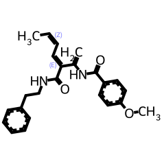 C=C(NC(=O)c1ccc(OC)cc1)/C(=C\C=C/C)C(=O)NCCc1ccccc1